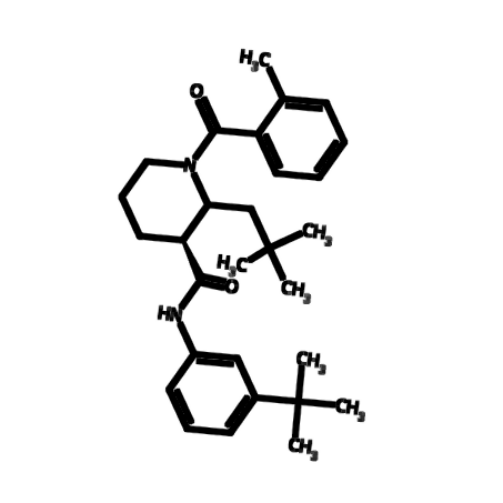 Cc1ccccc1C(=O)N1CCC[C@H](C(=O)Nc2cccc(C(C)(C)C)c2)C1CC(C)(C)C